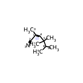 C/C(C#N)=C/C(C)(C)C(C)C